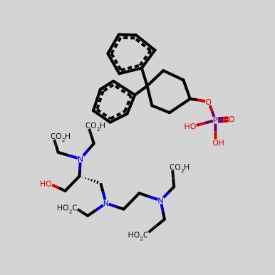 O=C(O)CN(CCN(CC(=O)O)C[C@H](CO)N(CC(=O)O)CC(=O)O)CC(=O)O.O=P(O)(O)OC1CCC(c2ccccc2)(c2ccccc2)CC1